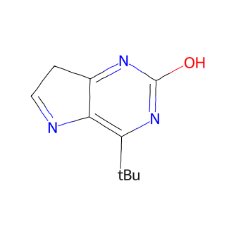 CC(C)(C)c1nc(O)nc2c1N=CC2